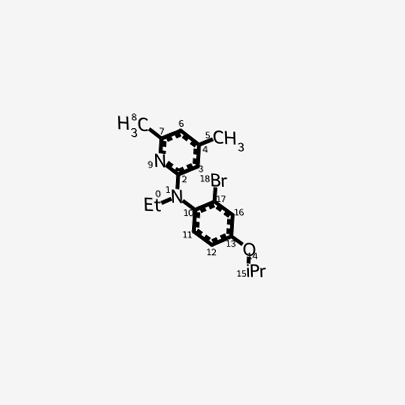 CCN(c1cc(C)cc(C)n1)c1ccc(OC(C)C)cc1Br